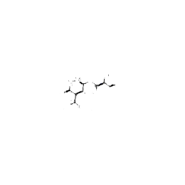 C=C/C(Cl)=C(\C)Oc1cc(C(C)C)c(=O)[nH]n1